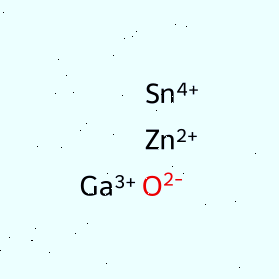 [Ga+3].[O-2].[Sn+4].[Zn+2]